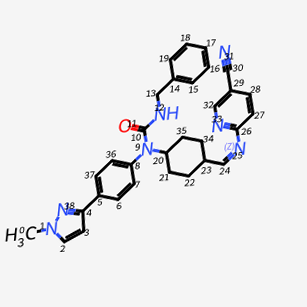 Cn1ccc(-c2ccc(N(C(=O)NCc3ccccc3)C3CCC(/C=N\c4ccc(C#N)cn4)CC3)cc2)n1